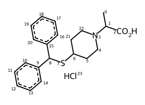 CC(C(=O)O)N1CCC(SC(c2ccccc2)c2ccccc2)CC1.Cl